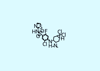 CN(C)[C@H]1C[C@H]2C(C[C@@H]1Nc1cc(F)c(S(=O)(=O)Nc3nccs3)cc1Cl)C2(Cl)Cl